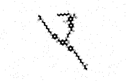 C=CC(=O)OCCCCCCCCOc1ccc(OC(=O)c2ccc(C(=O)Oc3ccc(OCCCCCCCCOC(=O)C=C)cc3)c(C(=O)OCCCOC(=O)c3ccc(-c4cc([N+](=O)[O-])c(O[C@@H](C)CCCCCC)cc4N)cc3)c2)cc1